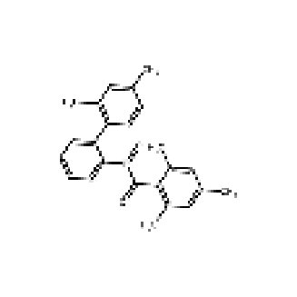 Cc1ccc(-c2ccccc2[P](=O)C(=O)c2c(C)cc(C)cc2C)c(C)c1